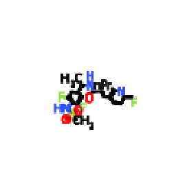 CCCc1nc(CF)ccc1/C=C/C(=O)N[C@H](C)c1cc(F)c(NS(C)(=O)=O)c(F)c1